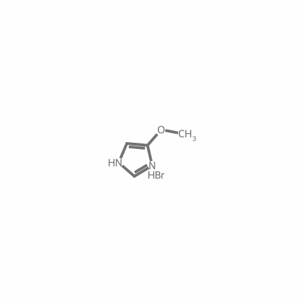 Br.COc1c[nH]cn1